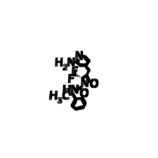 C[C@@H](NC(=O)N1C(=O)[C@H](Cc2ccnc(N)c2)[C@H]1C(F)F)c1ccccc1